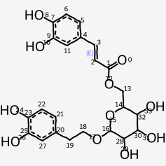 O=C(/C=C/c1ccc(O)c(O)c1)OCC1OC(OCCc2ccc(O)c(O)c2)C(O)C(O)C1O